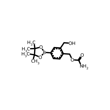 CC1(C)OB(c2ccc(COC(N)=O)c(CO)c2)OC1(C)C